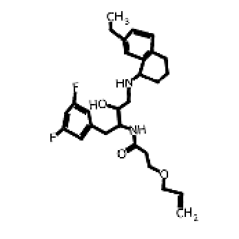 C=CCOCCC(=O)NC(Cc1cc(F)cc(F)c1)C(O)CNC1CCCc2ccc(CC)cc21